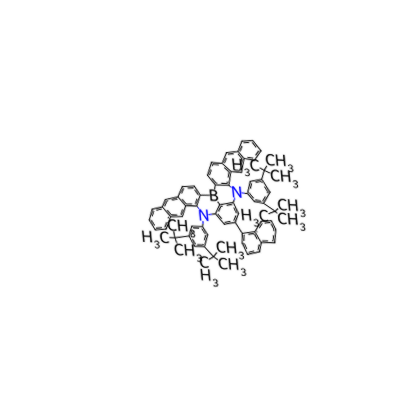 CC(C)(C)c1cc(N2c3cc(-c4cccc5ccccc45)cc4c3B(c3ccc5cc6ccccc6cc5c32)c2ccc3cc5ccccc5cc3c2N4c2cc(C(C)(C)C)cc(C(C)(C)C)c2)cc(C(C)(C)C)c1